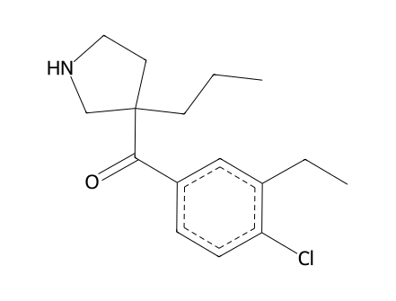 CCCC1(C(=O)c2ccc(Cl)c(CC)c2)CCNC1